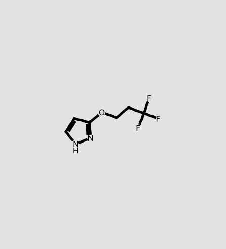 FC(F)(F)CCOc1cc[nH]n1